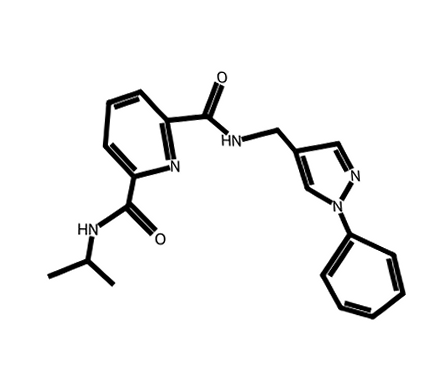 CC(C)NC(=O)c1cccc(C(=O)NCc2cnn(-c3ccccc3)c2)n1